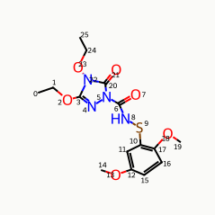 CCOc1nn(C(=O)NSc2cc(OC)ccc2OC)c(=O)n1OCC